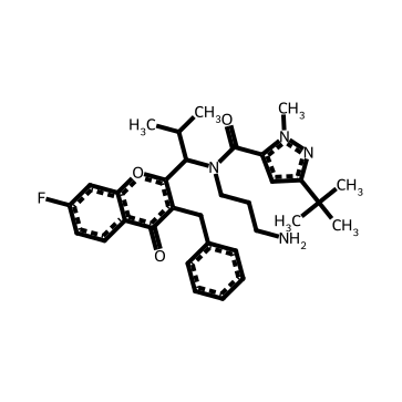 CC(C)C(c1oc2cc(F)ccc2c(=O)c1Cc1ccccc1)N(CCCN)C(=O)c1cc(C(C)(C)C)nn1C